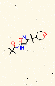 CC(C)(C)C(=O)Nc1cc(C(C)(C)C2CCOCC2)no1